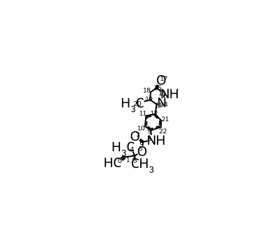 C#CC(C)(C)OC(=O)Nc1ccc(C2=NNC(=O)CC2C)cc1